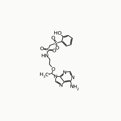 C[C@@H](OCCNS(=O)(=O)CS(=O)(=O)c1ccccc1O)n1cnc2c(N)ncnc21